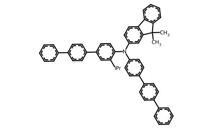 CC(C)c1cc(-c2ccc(-c3ccccc3)cc2)ccc1N(c1ccc(-c2ccc(-c3ccccc3)cc2)cc1)c1ccc2c(c1)C(C)(C)c1ccccc1-2